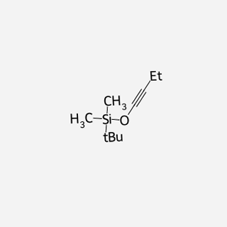 CCC#CO[Si](C)(C)C(C)(C)C